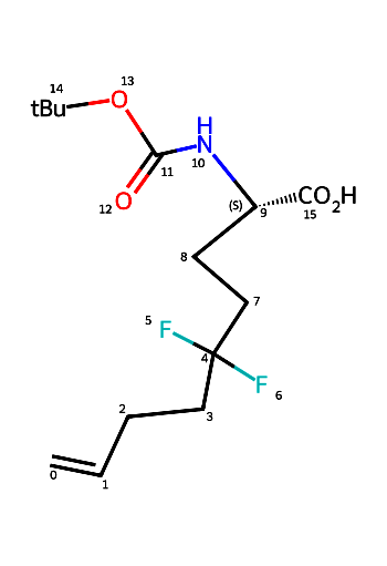 C=CCCC(F)(F)CC[C@H](NC(=O)OC(C)(C)C)C(=O)O